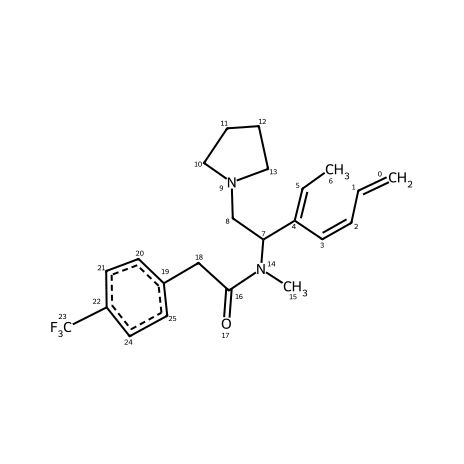 C=C/C=C\C(=C/C)C(CN1CCCC1)N(C)C(=O)Cc1ccc(C(F)(F)F)cc1